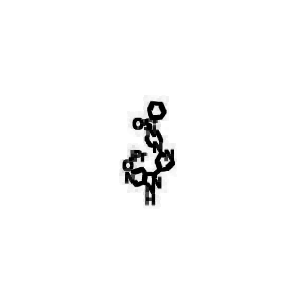 CC(C)Oc1cc2c(-c3ccnc(N4CCN([S+]([O-])c5ccccc5)CC4)c3)n[nH]c2cn1